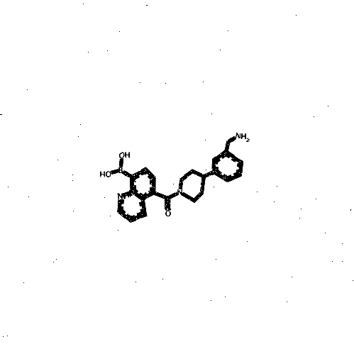 NCc1cccc(C2CCN(C(=O)c3ccc(B(O)O)c4ncccc34)CC2)c1